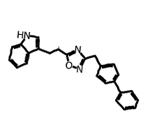 [CH](Cc1c[nH]c2ccccc12)c1nc(Cc2ccc(-c3ccccc3)cc2)no1